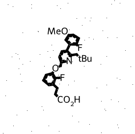 COc1ccc(F)c(-c2ccc(COc3cccc(CCC(=O)O)c3F)nc2CC(C)(C)C)c1